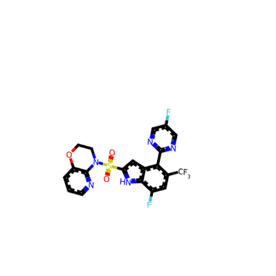 O=S(=O)(c1cc2c(-c3ncc(F)cn3)c(C(F)(F)F)cc(F)c2[nH]1)N1CCOc2cccnc21